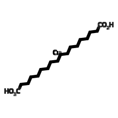 O=C(O)CCCCCCCCCCCCCCCCC(=O)O.[Cu]